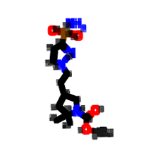 CC(C)(C)OC(=O)N1CC(CCn2ccc(S(N)(=O)=O)n2)CC1(C)C